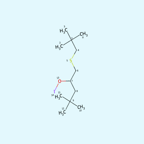 CC(C)(C)CSCC(CC(C)(C)C)OI